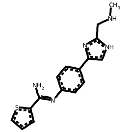 CNCc1nc(-c2ccc(/N=C(\N)c3cccs3)cc2)c[nH]1